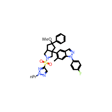 CCCn1ncc(S(=O)(=O)N2CC3CC(OC)(c4ccccc4)CC3(c3cc4cnn(-c5ccc(F)cc5)c4cc3C)C2)n1